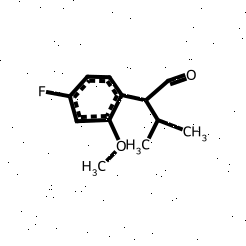 COc1cc(F)ccc1C(C=O)C(C)C